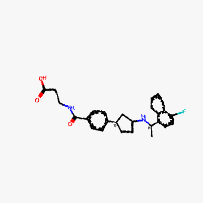 C[C@@H](NC1CC[C@@H](c2ccc(C(=O)NCCC(=O)O)cc2)C1)c1ccc(F)c2ccccc12